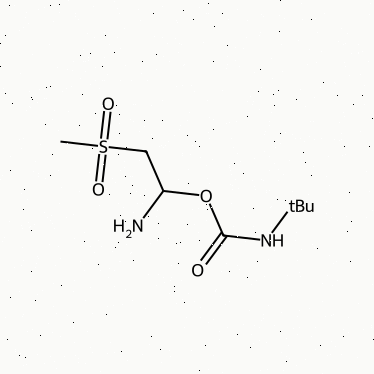 CC(C)(C)NC(=O)OC(N)CS(C)(=O)=O